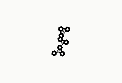 c1ccc(-n2c3ccccc3c3cc(-n4c5ccccc5c5c6cc7c(cc6ccc54)c4cccc5c6ccccc6n7c54)ccc32)cc1